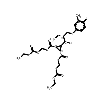 CCOC(=O)OCOC(=O)[C@H]1C([C@H](O)[C@H](CN)CSc2ccc(F)c(C)c2)[C@@H]1C(=O)OCOC(=O)OCC